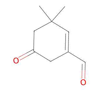 CC1(C)C=C(C=O)CC(=O)C1